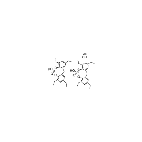 CCc1cc(CC)c2c(c1)Cc1cc(CC)cc(CC)c1OP(=O)(O)O2.CCc1cc(CC)c2c(c1)Cc1cc(CC)cc(CC)c1OP(=O)(O)O2.[OH][Al]